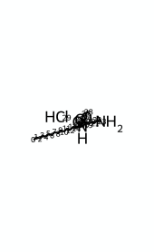 CCCCCCCCCCCCCCCC(=O)N[C@@H](CCCCN)C(=O)OCC.Cl